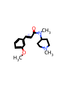 COc1cccc(/C=C/C(=O)N(C)C2CCN(C)CC2)c1